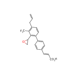 C=CCc1ccc(-c2ccc(/C=C/C(=O)O)cc2)c(C2CO2)c1C(F)(F)F